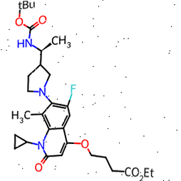 CCOC(=O)CCCOc1cc(=O)n(C2CC2)c2c(C)c(N3CCC([C@H](C)NC(=O)OC(C)(C)C)C3)c(F)cc12